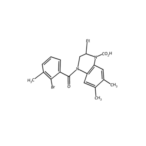 CCC1CN(C(=O)c2cccc(C)c2Br)c2cc(C)c(C)cc2N1C(=O)O